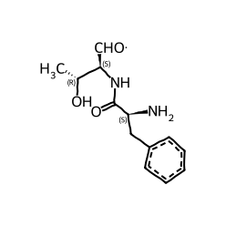 C[C@@H](O)[C@@H]([C]=O)NC(=O)[C@@H](N)Cc1ccccc1